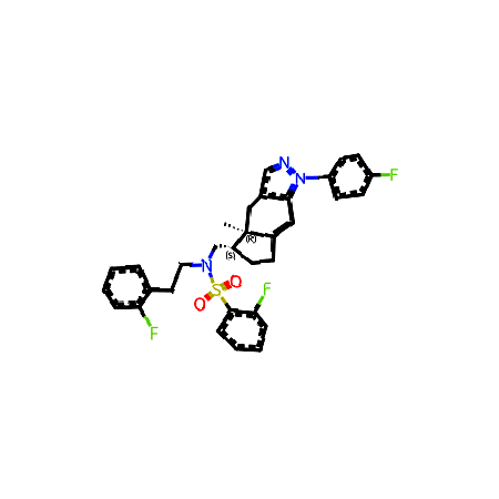 C[C@]12Cc3cnn(-c4ccc(F)cc4)c3C=C1CC[C@@H]2CN(CCc1ccccc1F)S(=O)(=O)c1ccccc1F